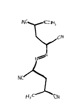 CC(C#N)CC(C#N)/N=N/C(C#N)CC(C)C#N